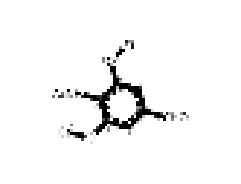 CCOc1cc(C=O)cc(OCC)c1NC(C)=O